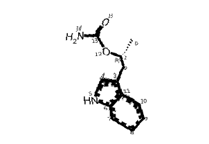 C[C@H](Cc1c[nH]c2ccccc12)OC(N)=O